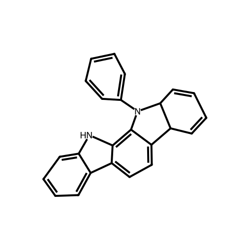 C1=CC2c3ccc4c([nH]c5ccccc54)c3N(c3ccccc3)C2C=C1